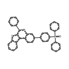 O=P(c1ccccc1)(c1ccccc1)c1ccc(-c2ccc3c(c2)nc(-c2ccccc2)c2sc4ccccc4c23)cc1